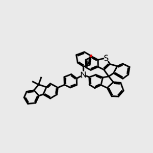 CC1(C)c2ccccc2-c2ccc(-c3ccc(N(c4ccccc4)c4ccc5c(c4)C4(c6ccccc6-5)c5ccccc5-c5sc6ccccc6c54)cc3)cc21